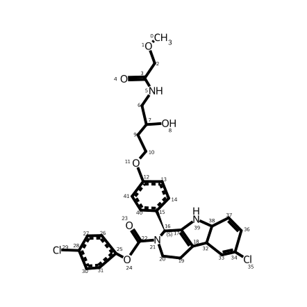 COCC(=O)NCC(O)CCOc1ccc([C@H]2C3=C(CCN2C(=O)Oc2ccc(Cl)cc2)C2C=C(Cl)C=CC2N3)cc1